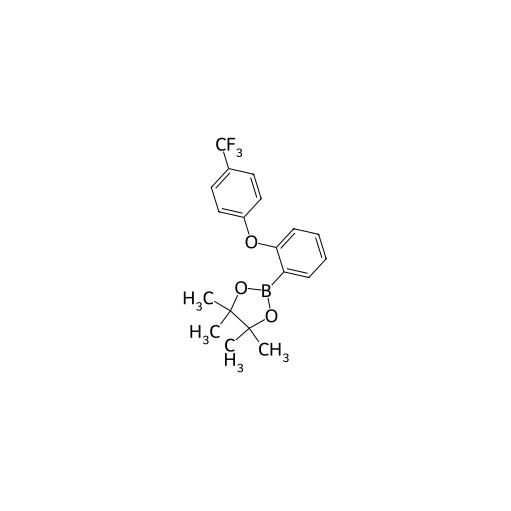 CC1(C)OB(c2ccccc2Oc2ccc(C(F)(F)F)cc2)OC1(C)C